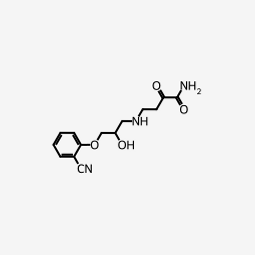 N#Cc1ccccc1OCC(O)CNCCC(=O)C(N)=O